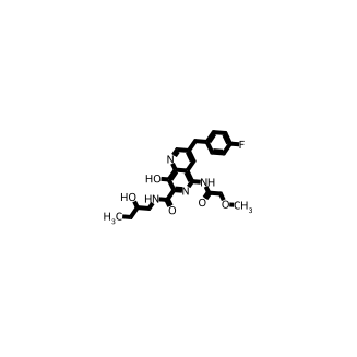 CCC(O)CNC(=O)c1nc(NC(=O)COC)c2cc(Cc3ccc(F)cc3)cnc2c1O